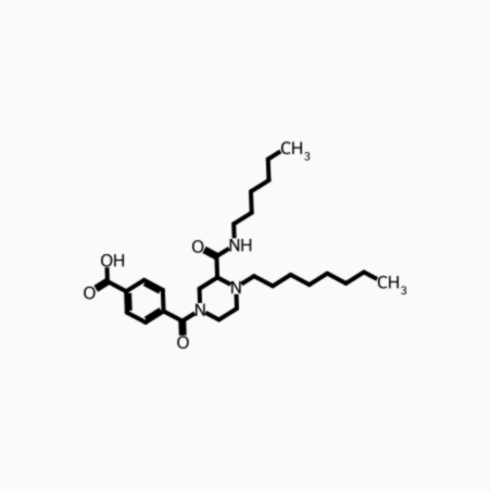 CCCCCCCCN1CCN(C(=O)c2ccc(C(=O)O)cc2)CC1C(=O)NCCCCCC